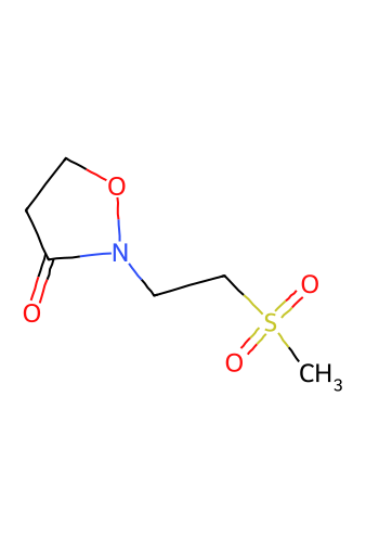 CS(=O)(=O)CCN1OCCC1=O